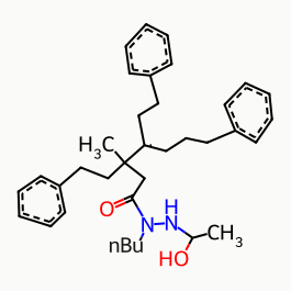 CCCCN(NC(C)O)C(=O)CC(C)(CCc1ccccc1)[C](CCCc1ccccc1)CCc1ccccc1